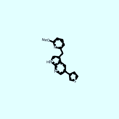 COc1cccc(Cc2c[nH]c3ncc(-c4ccsc4)cc23)n1